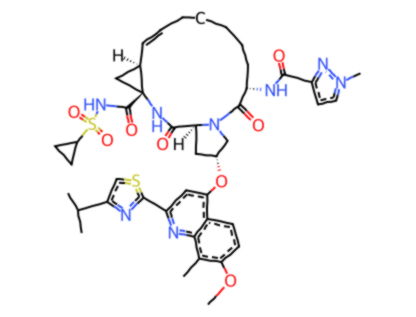 COc1ccc2c(O[C@@H]3C[C@H]4C(=O)N[C@]5(C(=O)NS(=O)(=O)C6CC6)C[C@H]5/C=C\CCCCC[C@H](NC(=O)c5ccn(C)n5)C(=O)N4C3)cc(-c3nc(C(C)C)cs3)nc2c1C